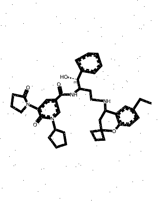 CCc1ccc2c(c1)C(NCCC(NC(=O)c1cc(N3CCCC3=O)c(=O)n(C3CCCC3)c1)[C@H](O)c1ccccc1)CC1(CCC1)O2